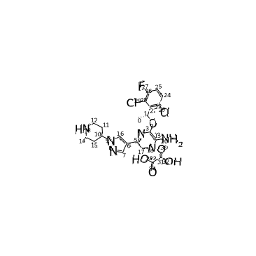 C[C@@H](Oc1nc(-c2cnn(C3CCNCC3)c2)cnc1N)c1c(Cl)ccc(F)c1Cl.O=C(O)C(=O)O